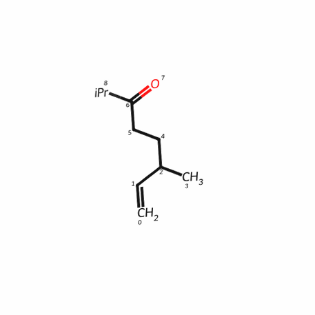 C=CC(C)CCC(=O)C(C)C